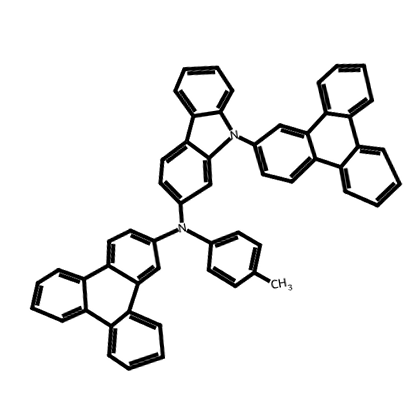 Cc1ccc(N(c2ccc3c4ccccc4c4ccccc4c3c2)c2ccc3c4ccccc4n(-c4ccc5c6ccccc6c6ccccc6c5c4)c3c2)cc1